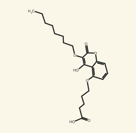 CCCCCCCCOc1c(O)c2c(OCCCCC(=O)O)cccc2oc1=O